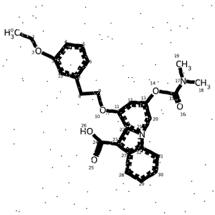 CCOc1cccc(CCOc2cc(OC(=O)N(C)C)cn3c2c(C(=O)O)c2ccccc23)c1